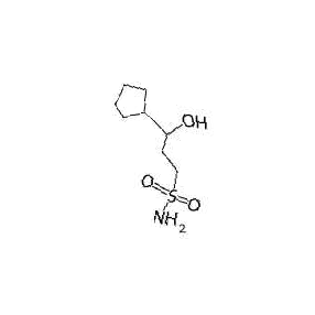 NS(=O)(=O)CCC(O)C1CCCC1